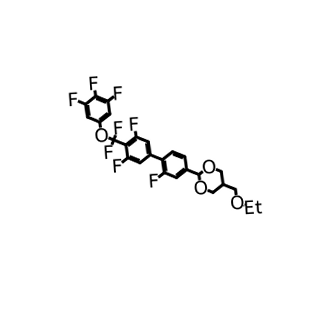 CCOCC1COC(c2ccc(-c3cc(F)c(C(F)(F)Oc4cc(F)c(F)c(F)c4)c(F)c3)c(F)c2)OC1